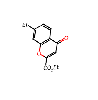 CCOC(=O)c1cc(=O)c2ccc(CC)cc2o1